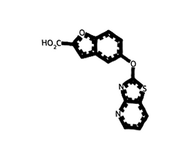 O=C(O)c1cc2cc(Oc3nc4ncccc4s3)ccc2o1